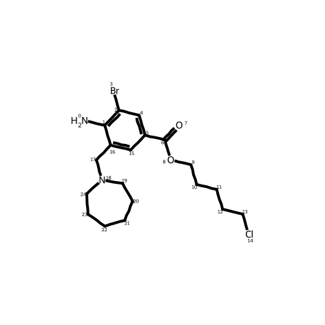 Nc1c(Br)cc(C(=O)OCCCCCCl)cc1CN1CCCCCC1